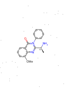 COc1cccc2c(=O)n(-c3ccccc3)c([C@H](C)N)nc12